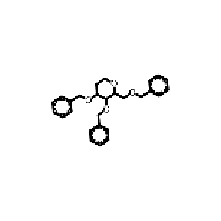 c1ccc(COCC2OCCC(OCc3ccccc3)C2OCc2ccccc2)cc1